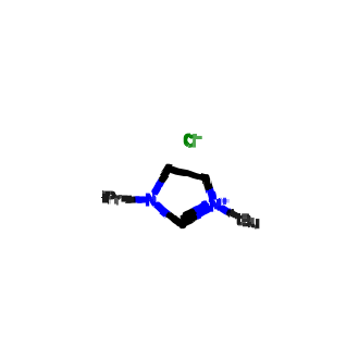 CC(C)N1C=[N+](C(C)(C)C)CC1.[Cl-]